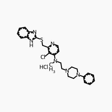 CN(CCN1CCN(c2ccccc2)CC1)c1ccnc(CSc2nc3ccccc3[nH]2)c1Cl.Cl